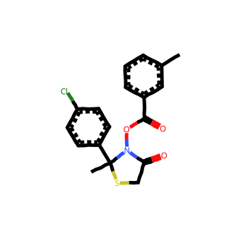 Cc1cccc(C(=O)ON2C(=O)CSC2(C)c2ccc(Cl)cc2)c1